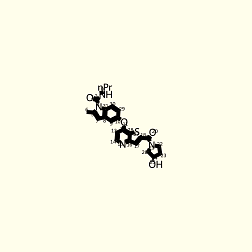 CCCNC(=O)n1c(C)cc2cc(Oc3ccnc4cc(C(=O)N5CC[C@H](O)C5)sc34)ccc21